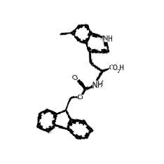 Cc1ccc2[nH]cc(CC(NC(=O)OCC3c4ccccc4-c4ccccc43)C(=O)O)c2c1